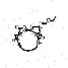 CCOCO[C@H]1C[C@H]2C(=O)N(C)CCCC/C=C\[C@@H]3C[C@@]34N=C(OC4=O)[C@@H]2C1